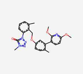 COc1ccc(-c2cc(OCc3c(C)cccc3-n3nnn(C)c3=O)ccc2C)c(OC)n1